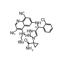 CC(C)(C)CNc1c(C#N)cnc2c(C#N)cc(N[C@H](C3=CN(C4(C(N)=O)CC4)NN3)c3ccccc3Cl)cc12